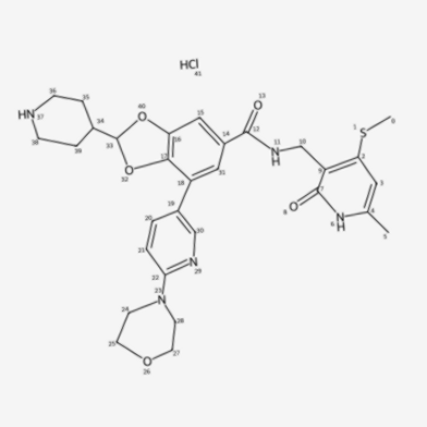 CSc1cc(C)[nH]c(=O)c1CNC(=O)c1cc2c(c(-c3ccc(N4CCOCC4)nc3)c1)OC(C1CCNCC1)O2.Cl